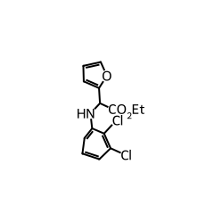 CCOC(=O)C(Nc1cccc(Cl)c1Cl)c1ccco1